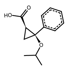 CC(C)O[C@@]1(c2ccccc2)C[C@H]1C(=O)O